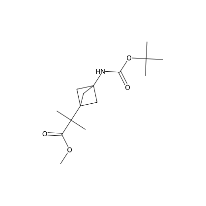 COC(=O)C(C)(C)C12CC(NC(=O)OC(C)(C)C)(C1)C2